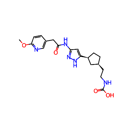 COc1ccc(CC(=O)Nc2cc([C@H]3CC[C@@H](CCNC(=O)O)C3)[nH]n2)cn1